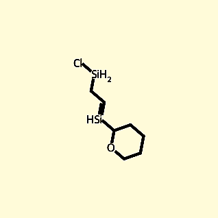 Cl[SiH2]CC=[SiH]C1CCCCO1